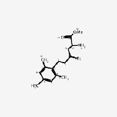 CCC(CCc1c(C)cc(C)cc1C)CC(N)C(=O)OC